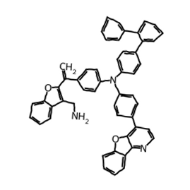 C=C(c1ccc(N(c2ccc(-c3ccccc3-c3ccccc3)cc2)c2ccc(-c3ccnc4c3oc3ccccc34)cc2)cc1)c1oc2ccccc2c1CN